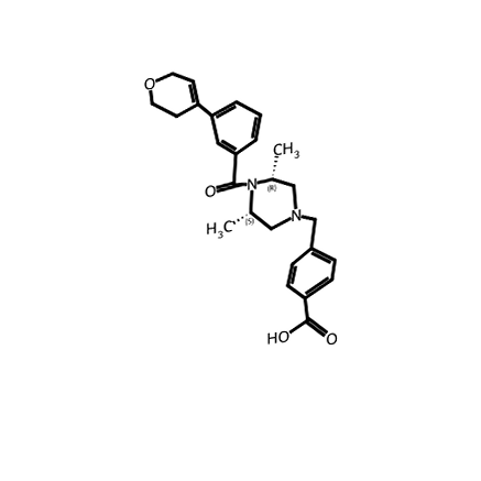 C[C@@H]1CN(Cc2ccc(C(=O)O)cc2)C[C@H](C)N1C(=O)c1cccc(C2=CCOCC2)c1